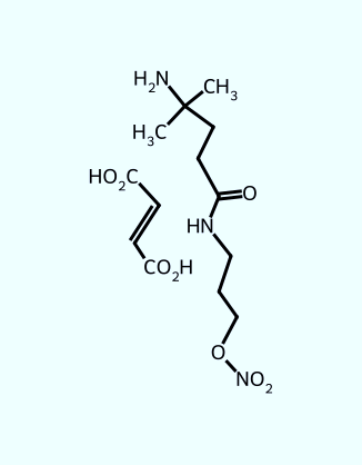 CC(C)(N)CCC(=O)NCCCO[N+](=O)[O-].O=C(O)/C=C/C(=O)O